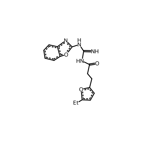 CCc1ccc(CCC(=O)NC(=N)Nc2nc3ccccc3o2)o1